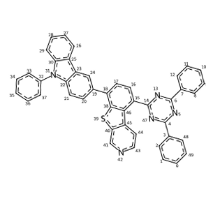 c1ccc(-c2nc(-c3ccccc3)nc(-c3ccc(-c4ccc5c(c4)c4ccccc4n5-c4ccccc4)c4sc5cnccc5c34)n2)cc1